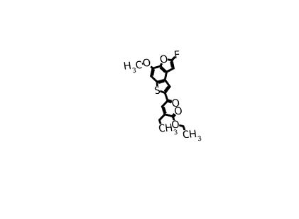 CCOC(=O)C(=CC(=O)c1cc2c(cc(OC)c3oc(F)cc32)s1)CC